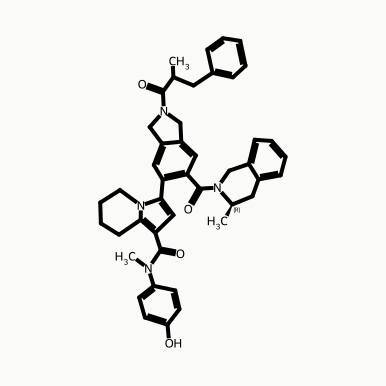 CC(Cc1ccccc1)C(=O)N1Cc2cc(C(=O)N3Cc4ccccc4C[C@H]3C)c(-c3cc(C(=O)N(C)c4ccc(O)cc4)c4n3CCCC4)cc2C1